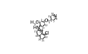 Cc1cc(OCc2ccncc2)ccc1Nc1ccc2cccc(Cl)c2n1